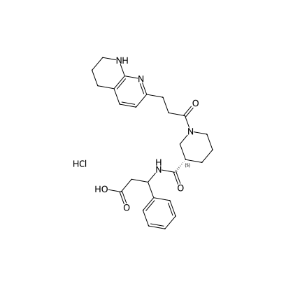 Cl.O=C(O)CC(NC(=O)[C@H]1CCCN(C(=O)CCc2ccc3c(n2)NCCC3)C1)c1ccccc1